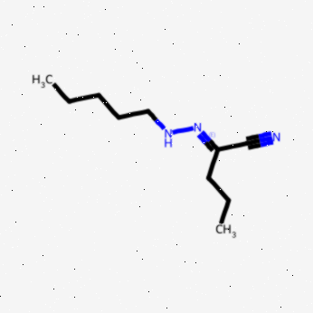 CCCCCN/N=C(/C#N)CCC